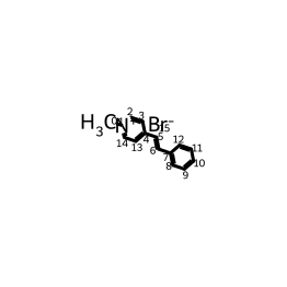 C[n+]1ccc(C=Cc2ccccc2)cc1.[Br-]